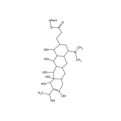 CCCCCOC(=O)CCC1CC(N(C)C)C2CC3CC4CC(O)=C(C(C)O)C(O)C4(O)C(O)C3C(O)C2C1O